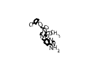 COC[C@H]1C(=O)N(Cc2ccc3c(N)ncnc3c2)CCN1C(=O)COc1cccc(Cl)c1